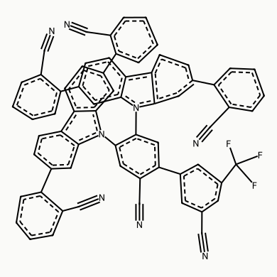 N#Cc1cc(-c2cc(-n3c4cc(-c5ccccc5C#N)ccc4c4ccc(-c5ccccc5C#N)cc43)c(-n3c4cc(-c5ccccc5C#N)ccc4c4ccc(-c5ccccc5C#N)cc43)cc2C#N)cc(C(F)(F)F)c1